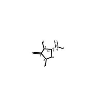 C=C1C(C)C[C@@H](NC)C1C